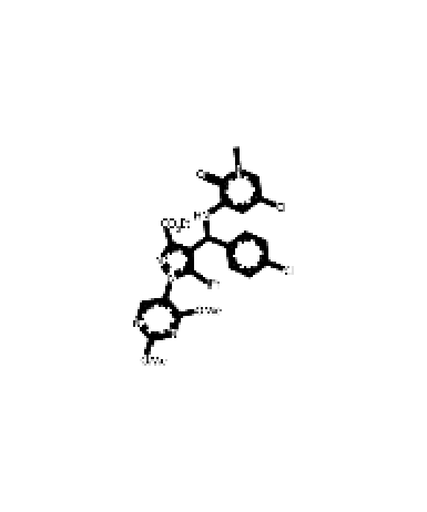 CCOC(=O)c1nn(-c2cnc(OC)nc2OC)c(C(C)C)c1C(Nc1cc(Cl)cn(C)c1=O)c1ccc(Cl)cc1